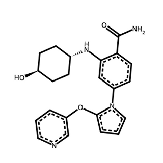 NC(=O)c1ccc(-n2cccc2Oc2cccnc2)cc1N[C@H]1CC[C@H](O)CC1